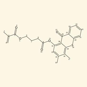 C=C(C)C(=O)OCCCC(=O)Oc1cc(C)c(C)c2sc3ccccc3c(=O)c12